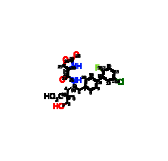 C[C@@](CO)(C[C@@H](Cc1ccc(-c2cc(Cl)ccc2F)cc1)NC(=O)c1coc(=O)[nH]1)C(=O)O